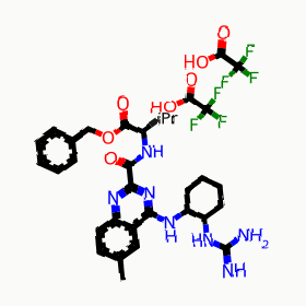 Cc1ccc2nc(C(=O)NC(C(=O)OCc3ccccc3)C(C)C)nc(NC3CCCCC3NC(=N)N)c2c1.O=C(O)C(F)(F)F.O=C(O)C(F)(F)F